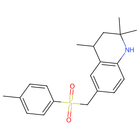 Cc1ccc(S(=O)(=O)Cc2ccc3c(c2)C(C)CC(C)(C)N3)cc1